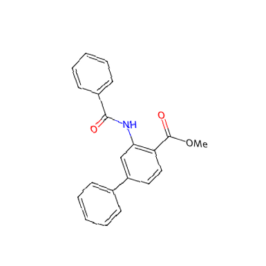 COC(=O)c1ccc(-c2ccccc2)cc1NC(=O)c1ccccc1